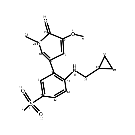 COc1cc(-c2cc(S(C)(=O)=O)ccc2NCC2CC2)cn(C)c1=O